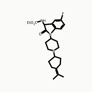 CCOC(=O)NC1C(=O)N(C2CCN(C3CCC(=C(C)C)CC3)CC2)c2ccc(F)cc21